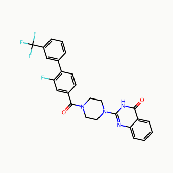 O=C(c1ccc(-c2cccc(C(F)(F)F)c2)c(F)c1)N1CCN(c2nc3ccccc3c(=O)[nH]2)CC1